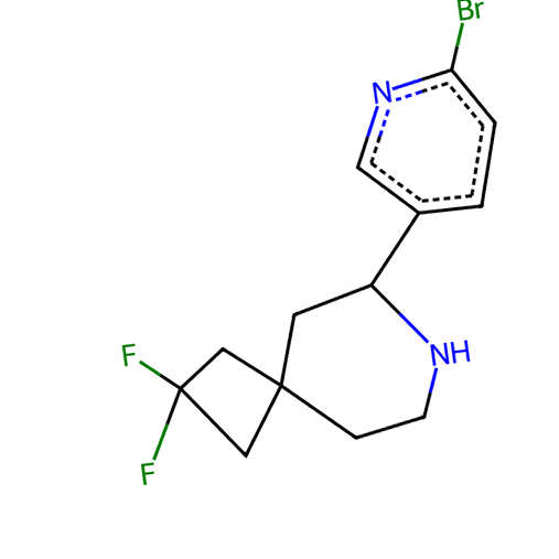 FC1(F)CC2(CCNC(c3ccc(Br)nc3)C2)C1